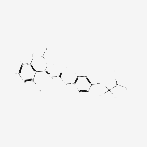 CCO/C(=N\C(=O)Nc1ccc(SC(F)(F)C(F)F)cc1)c1c(F)cccc1F